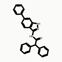 O=C(Nc1n[nH]c2cc(-c3ccccc3)ccc12)C(c1ccccc1)c1ccccc1